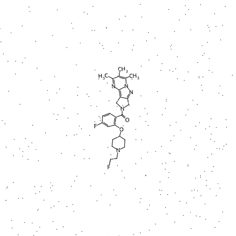 Cc1nc2c3c(nn2c(C)c1C)CN(C(=O)c1ccc(F)cc1OC1CCN(CCF)CC1)C3